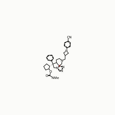 CNC(=O)OC1CCC[C@@H]1C(Cn1cnnc1)(c1ccccc1)C1CCN(CC2CN(c3ccc(C#N)cc3)C2)CC1